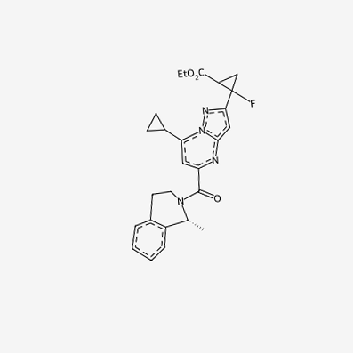 CCOC(=O)C1CC1(F)c1cc2nc(C(=O)N3CCc4ccccc4[C@H]3C)cc(C3CC3)n2n1